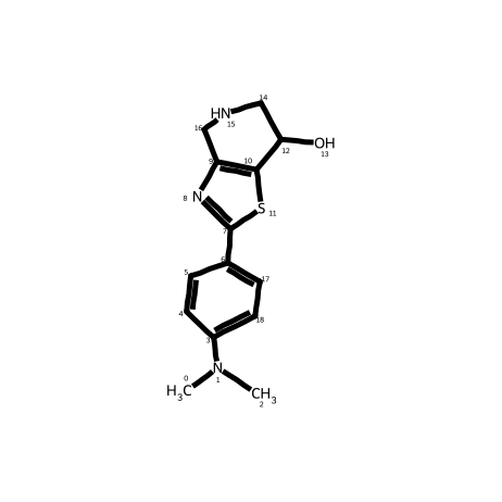 CN(C)c1ccc(-c2nc3c(s2)C(O)CNC3)cc1